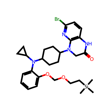 C[Si](C)(C)CCOCOc1ccccc1N(C1CCC(N2CC(=O)Nc3ccc(Br)nc32)CC1)C1CC1